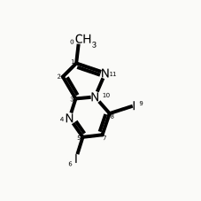 Cc1cc2nc(I)cc(I)n2n1